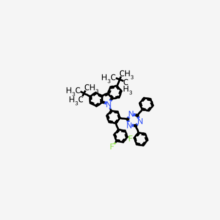 CC(C)(C)c1ccc2c(c1)c1cc(C(C)(C)C)ccc1n2-c1ccc(-c2cc(F)cc(F)c2)c(-c2nc(-c3ccccc3)nc(-c3ccccc3)n2)c1